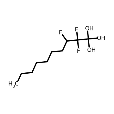 CCCCCCCC(F)C(F)(F)C(O)(O)O